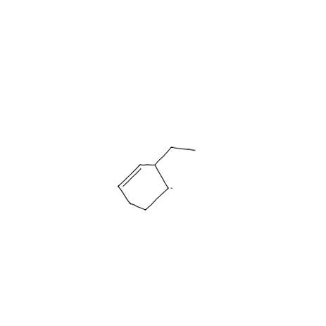 CCC1[CH]CCC=C1